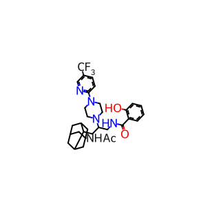 CC(=O)NC12CC3CC(C1)C(CC(CNC(=O)c1ccccc1O)N1CCN(c4ccc(C(F)(F)F)cn4)CC1)C(C3)C2